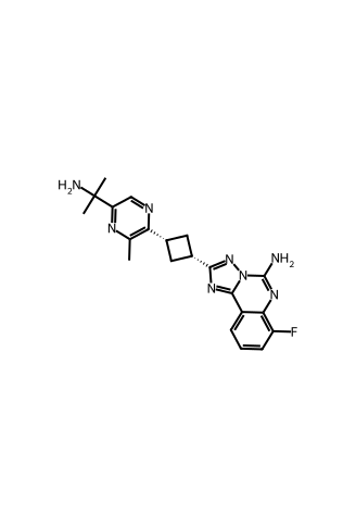 Cc1nc(C(C)(C)N)cnc1[C@H]1C[C@@H](c2nc3c4cccc(F)c4nc(N)n3n2)C1